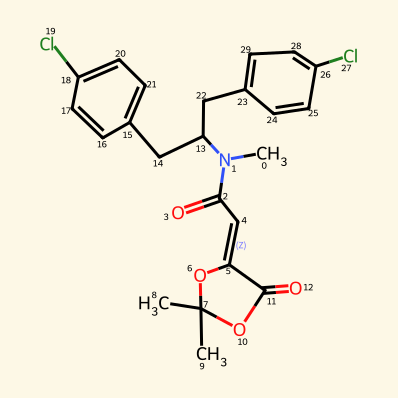 CN(C(=O)/C=C1\OC(C)(C)OC1=O)C(Cc1ccc(Cl)cc1)Cc1ccc(Cl)cc1